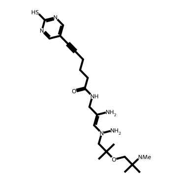 CNC(C)(C)COC(C)(C)CN(N)/C=C(\N)CNC(=O)CCCC#Cc1cnc(S)nc1